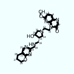 COc1ccc2ncc(=O)n(CCN3C[C@H](CNCc4ncc5c(n4)OCCC5)[C@H](O)C3)c2n1